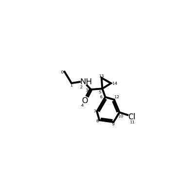 CCNC(=O)C1(c2cccc(Cl)c2)CC1